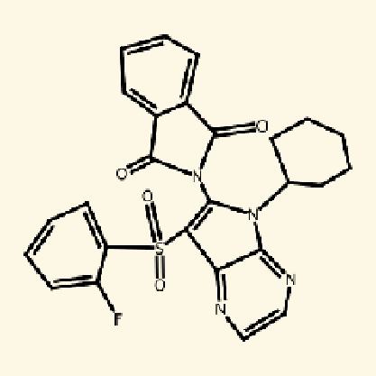 O=C1c2ccccc2C(=O)N1c1c(S(=O)(=O)c2ccccc2F)c2nccnc2n1C1CCCCC1